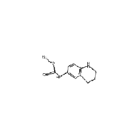 CC(C)(C)OC(=O)Nc1ccc2c(c1)CCCN2